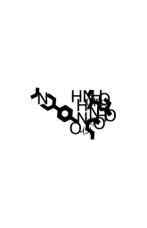 CC[C@H](C)[C@H](NC(=O)c1ccc(C2CCN(C(C)C)CC2)cc1)C(=O)N1C[C@H](NC)[C@H]2OCC(=O)[C@H]21